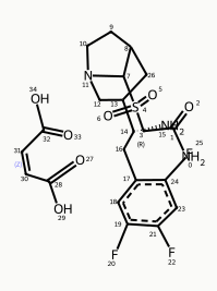 NC(=O)CS(=O)(=O)C1C2CCN1CC([C@H](N)Cc1cc(F)c(F)cc1F)C2.O=C(O)/C=C\C(=O)O